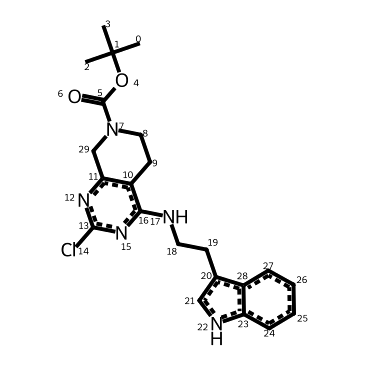 CC(C)(C)OC(=O)N1CCc2c(nc(Cl)nc2NCCc2c[nH]c3ccccc23)C1